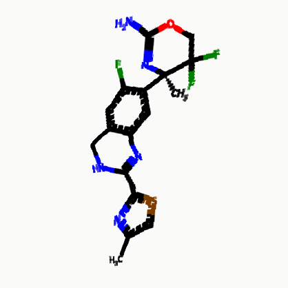 Cc1csc(C2=Nc3cc([C@@]4(C)N=C(N)OCC4(F)F)c(F)cc3CN2)n1